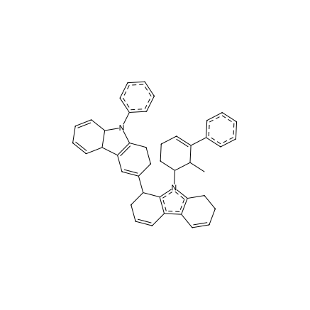 CC1C(c2ccccc2)=CCCC1n1c2c(c3c1C(C1=CC4=C(CC1)N(c1ccccc1)C1C=CC=CC41)CC=C3)C=CCC2